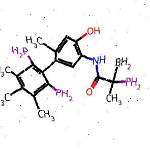 BC(C)(P)C(=O)Nc1cc(-c2c(P)c(C)c(C)c(C)c2P)c(C)cc1O